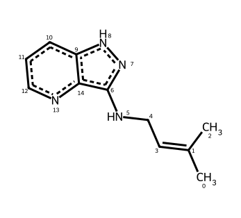 CC(C)=CCNc1n[nH]c2cccnc12